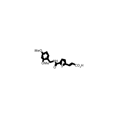 COc1ccc(CNC(=O)c2ccc(/C=C/C(=O)O)s2)c(OC)c1